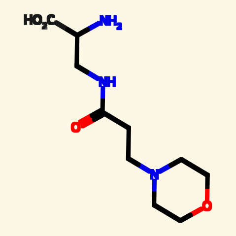 NC(CNC(=O)CCN1CCOCC1)C(=O)O